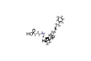 O=C(O)CCC/C=C\C[C@@H]1[C@@H](C[S+]([O-])CCC#CCCc2ccccc2)[C@@H]2CC[C@H]1O2